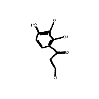 O=C(CCCl)c1ccc(O)c(Cl)c1O